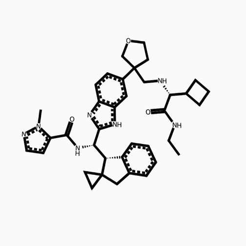 CCNC(=O)[C@H](NCC1(c2ccc3nc([C@@H](NC(=O)c4ccnn4C)[C@@H]4c5ccccc5CC45CC5)[nH]c3c2)CCOC1)C1CCC1